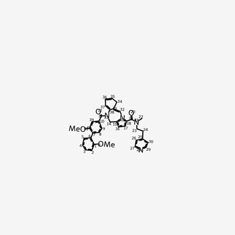 COc1ccccc1-c1ccc(C(=O)N2Cc3ccc(C(=O)N(C)CCc4ccncc4)n3C=C3CC=CC=C32)cc1OC